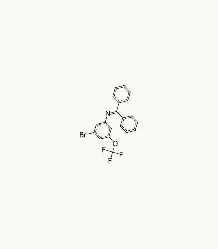 FC(F)(F)Oc1cc(Br)cc(N=C(c2ccccc2)c2ccccc2)c1